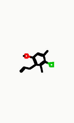 C=CCc1c([O])cc(C)c(Cl)c1C